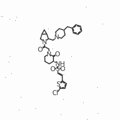 O=C1[C@@H](NS(=O)(=O)/C=C/c2ccc(Cl)s2)CCCN1CC(=O)N1CC2CC2C1CN1CCC(Cc2ccccc2)CC1